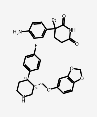 CCC1(c2ccc(N)cc2)CCC(=O)NC1=O.Fc1ccc([C@@H]2CCNC[C@H]2COc2ccc3c(c2)OCO3)cc1